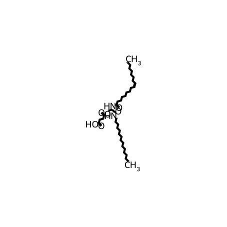 CCCCCCCC/C=C\CCCCCCCC(=O)NC(COC(=O)CCC(=O)O)C(=O)NCCCCCCCCCCCCCCCC